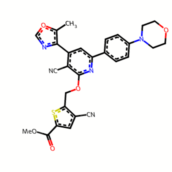 COC(=O)c1cc(C#N)c(COc2nc(-c3ccc(N4CCOCC4)cc3)cc(-c3ncoc3C)c2C#N)s1